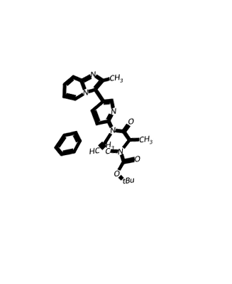 C#CN(C(=O)C(C)N(C)C(=O)OC(C)(C)C)c1ccc(-c2c(C)nc3ccccn23)cn1.c1ccccc1